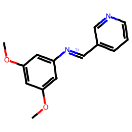 COc1cc(/N=C/c2cccnc2)cc(OC)c1